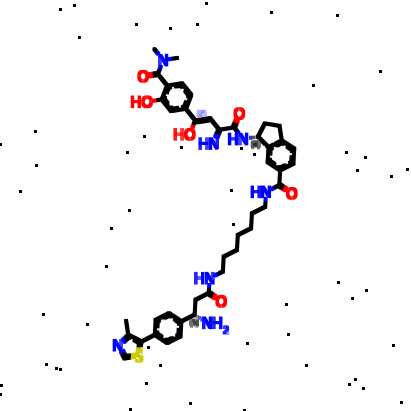 Cc1ncsc1-c1ccc([C@@H](N)CC(=O)NCCCCCCCNC(=O)c2ccc3c(c2)[C@H](NC(=O)C(=N)/C=C(\O)c2ccc(C(=O)N(C)C)c(O)c2)CC3)cc1